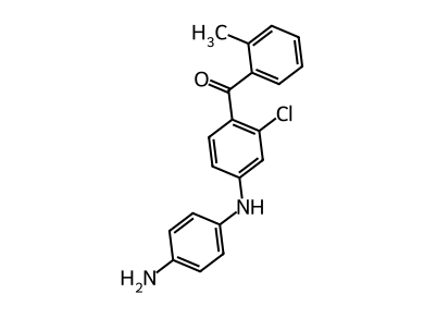 Cc1ccccc1C(=O)c1ccc(Nc2ccc(N)cc2)cc1Cl